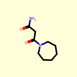 NC(=O)CC(=O)N1CCCCCC1